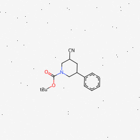 CC(C)(C)OC(=O)N1CC(C#N)CC(c2ccccc2)C1